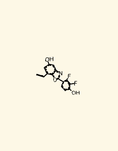 C=Cc1cc(O)cc2nc(-c3ccc(O)c(F)c3F)oc12